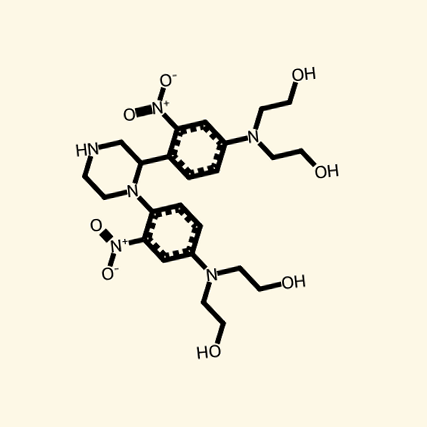 O=[N+]([O-])c1cc(N(CCO)CCO)ccc1C1CNCCN1c1ccc(N(CCO)CCO)cc1[N+](=O)[O-]